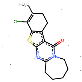 O=C(O)C1=C(Cl)c2sc3nc4n(c(=O)c3c2CC1)CCCCC4